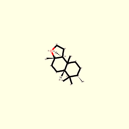 C[C@H]1CCC2(C)[C@@H](CC[C@]3(C)OCC[C@@H]23)C1(C)C